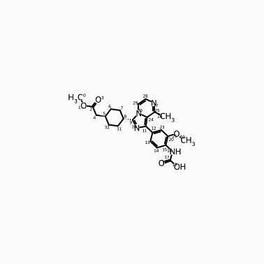 COC(=O)C[C@H]1CC[C@H](c2nc(-c3ccc(NC(=O)O)c(OC)c3)c3c(C)nccn32)CC1